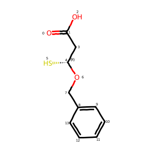 O=C(O)C[C@@H](S)OCc1ccccc1